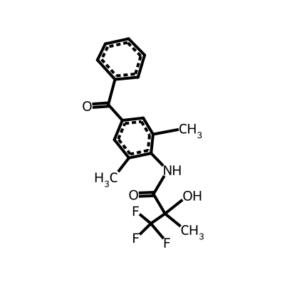 Cc1cc(C(=O)c2ccccc2)cc(C)c1NC(=O)C(C)(O)C(F)(F)F